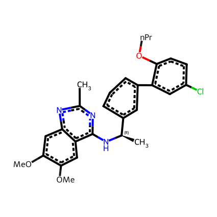 CCCOc1ccc(Cl)cc1-c1cccc([C@@H](C)Nc2nc(C)nc3cc(OC)c(OC)cc23)c1